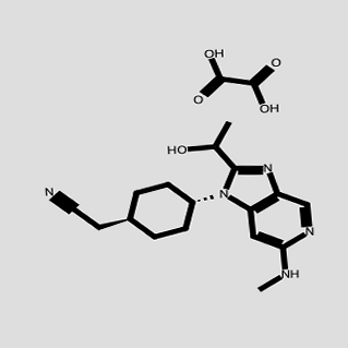 CNc1cc2c(cn1)nc(C(C)O)n2[C@H]1CC[C@H](CC#N)CC1.O=C(O)C(=O)O